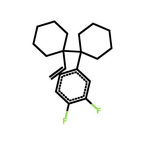 C=CC1(C2(c3ccc(F)c(F)c3)CCCCC2)CCCCC1